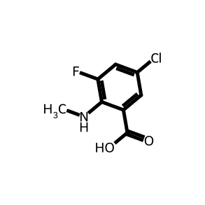 CNc1c(F)cc(Cl)cc1C(=O)O